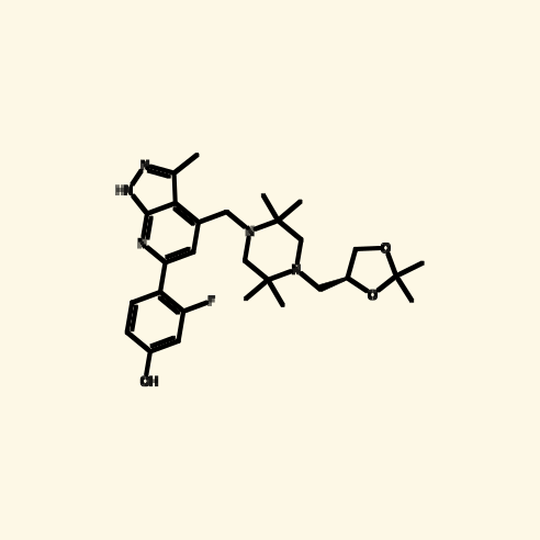 Cc1n[nH]c2nc(-c3ccc(O)cc3F)cc(CN3CC(C)(C)N(C[C@H]4COC(C)(C)O4)CC3(C)C)c12